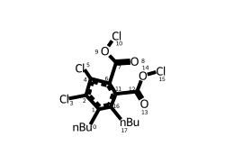 CCCCc1c(Cl)c(Cl)c(C(=O)OCl)c(C(=O)OCl)c1CCCC